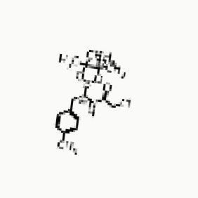 Cc1ccc(C[C@H](NC(=O)CCl)B2OC(C)(C)C(C)(C)O2)cc1